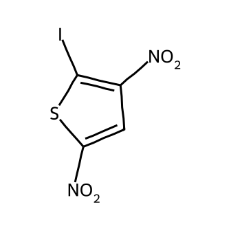 O=[N+]([O-])c1cc([N+](=O)[O-])c(I)s1